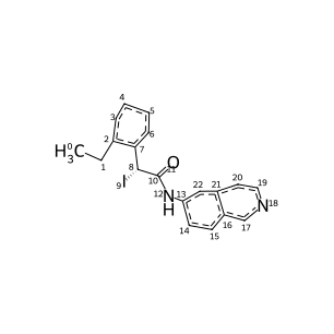 CCc1ccccc1[C@@H](I)C(=O)Nc1ccc2cnccc2c1